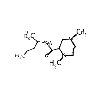 CCCC(C)NC(=O)C1CN(C)CCN1C